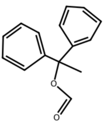 CC(OC=O)(c1ccccc1)c1ccccc1